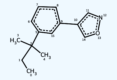 CCC(C)(C)c1cccc(-c2cnoc2)c1